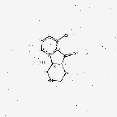 O=C1c2c(Cl)cccc2[C@@H]2CNCCN12